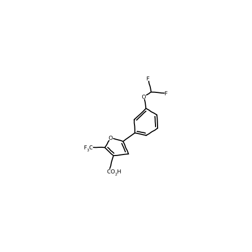 O=C(O)c1cc(-c2cccc(OC(F)F)c2)oc1C(F)(F)F